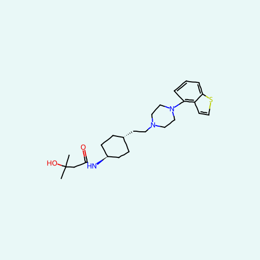 CC(C)(O)CC(=O)N[C@H]1CC[C@H](CCN2CCN(c3cccc4sccc34)CC2)CC1